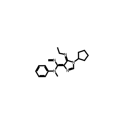 C=N/C(=C1/N=CN(C2CCCC2)/C1=N/CC)N(C)c1ccccc1